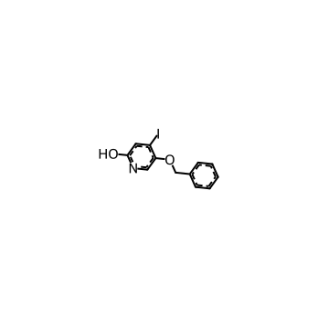 Oc1cc(I)c(OCc2ccccc2)cn1